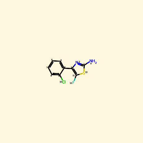 Nc1nc(-c2ccccc2Cl)c(F)s1